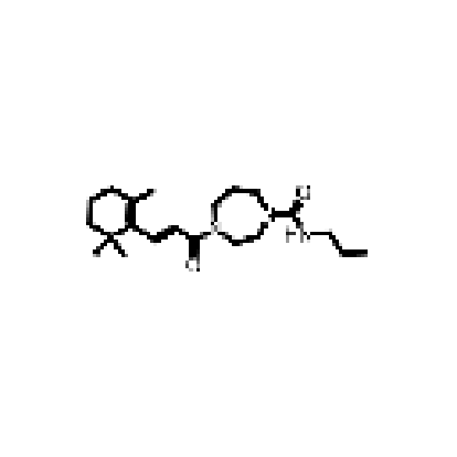 CCCNC(=O)N1CCCN(C(=O)C=CC2=C(C)CCCC2(C)C)CC1